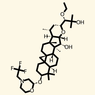 CCO[C@@H]([C@H]1C[C@@H](C)[C@H]2[C@H](O1)[C@H](O)[C@@]1(C)[C@@H]3CC[C@H]4C(C)(C)[C@@H](O[C@H]5CN(CC(F)(F)F)CCO5)CCC45C[C@@]35CC[C@]21C)C(C)(C)O